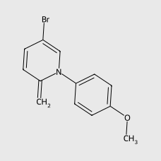 C=C1C=CC(Br)=CN1c1ccc(OC)cc1